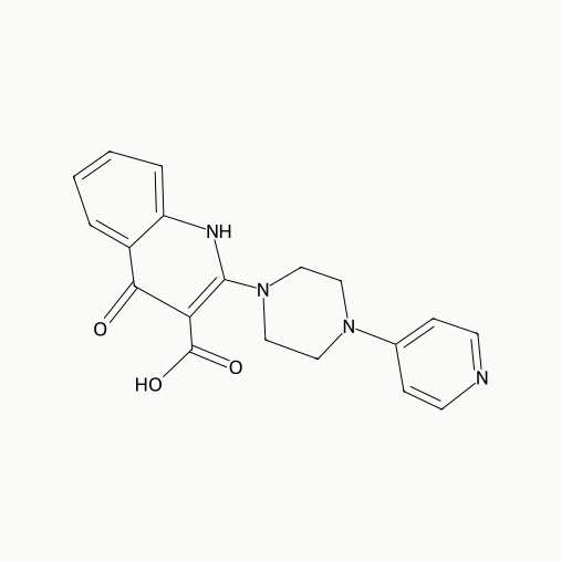 O=C(O)c1c(N2CCN(c3ccncc3)CC2)[nH]c2ccccc2c1=O